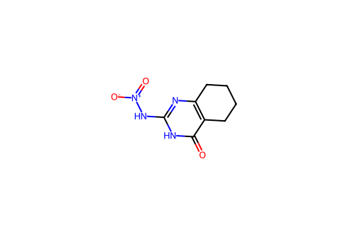 O=c1[nH]c(N[N+](=O)[O-])nc2c1CCCC2